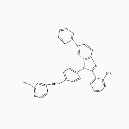 N#Cc1cc(NCc2ccc(-n3c(-c4cccnc4N)nc4ccc(-c5ccccc5)nc43)cc2)ccn1